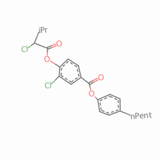 CCCCCc1ccc(OC(=O)c2ccc(OC(=O)C(Cl)C(C)C)c(Cl)c2)cc1